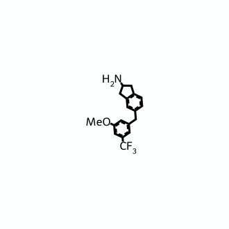 COc1cc(Cc2ccc3c(c2)CC(N)C3)cc(C(F)(F)F)c1